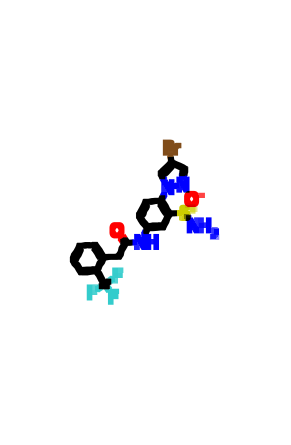 N[S+]([O-])c1cc(NC(=O)Cc2ccccc2C(F)(F)F)ccc1-n1cc(Br)cn1